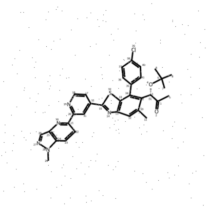 CC(=O)[C@@H](OC(C)(C)C)c1c(C)cc2nc(-c3ccnc(-c4ccc5c(cnn5C)n4)c3)sc2c1-c1ccc(Cl)cc1